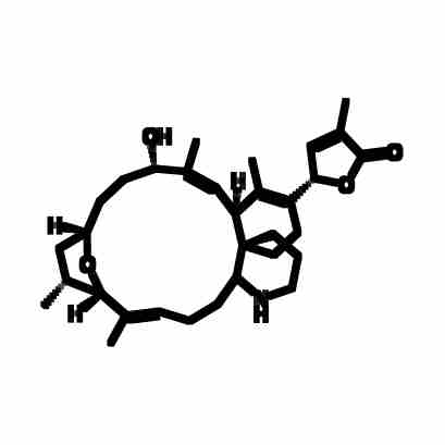 CC1=C[C@@H](C2=C(C)[C@@H]3/C=C(/C)[C@@H](O)CC[C@H]4C[C@@H](C)[C@H](O4)/C(C)=C/CCC4NCCC[C@@]43CC2)OC1=O